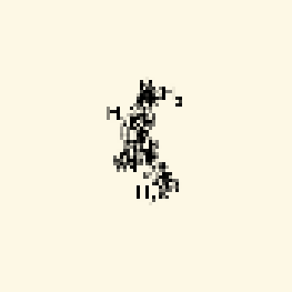 CC(=O)N1CCC(CSc2cnc(Nc3nc(C4(C)CCN(C(C)=O)CC4)ns3)c(Oc3cccnc3C)c2)CC1